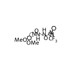 COc1cc2c(cc1OC)CN(C(=O)NCCNC(=O)c1cn(-c3ccccc3)nc1C(F)(F)F)CC2